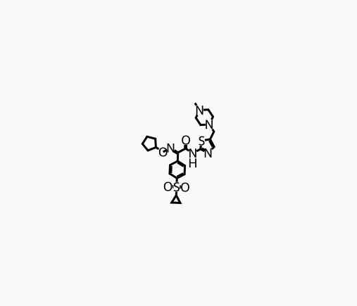 CN1CCN(Cc2cnc(NC(=O)/C(=N/OC3CCCC3)c3ccc(S(=O)(=O)C4CC4)cc3)s2)CC1